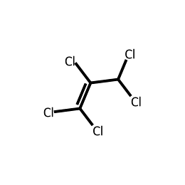 ClC(Cl)=C(Cl)C(Cl)Cl